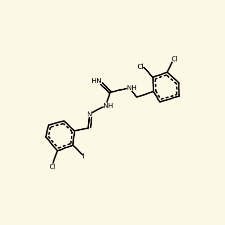 N=C(NCc1cccc(Cl)c1Cl)NN=Cc1cccc(Cl)c1I